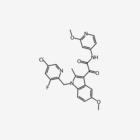 COc1ccc2c(c1)c(C(=O)C(=O)Nc1ccnc(OC)c1)c(C)n2Cc1ncc(Cl)cc1F